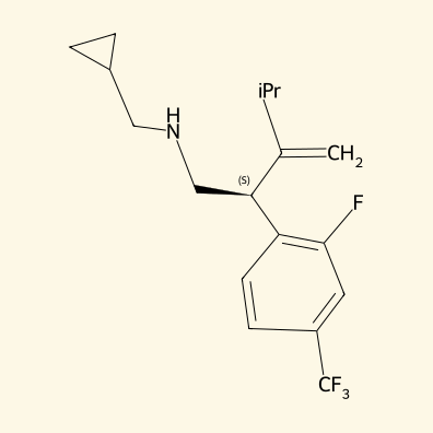 C=C(C(C)C)[C@H](CNCC1CC1)c1ccc(C(F)(F)F)cc1F